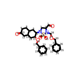 O=CC1CN(C2CC3CCC(=O)CC3CC2OCc2ccccc2)S(=O)(=O)N1COCc1ccccc1